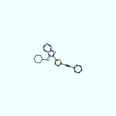 C(#Cc1ccc(-c2nc3cnccn3c2NC2CCCCC2)s1)c1ccccc1